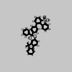 CC1(C)c2ccccc2-c2ccc3c(c21)OC(c1ccccc1)(c1ccc(-c2cccc4c2-c2ccccc2S4(=O)=O)cc1)O3